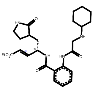 CCOC(=O)/C=C/[C@H](CC1CCNC1=O)NC(=O)c1ccccc1NC(=O)CNC1CCCCC1